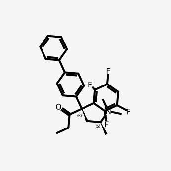 CCC(=O)[C@](C[C@H](C)N(C)C)(c1ccc(-c2ccccc2)cc1)c1c(F)c(F)cc(F)c1F